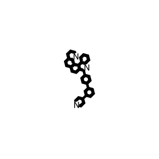 c1cc(-c2ccncc2)cc(-c2ccc(-c3nc4ccccc4c4c3ccc3ccc5cccnc5c34)cc2)c1